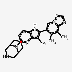 Cc1c(-c2[nH]c3ccc(N4C5CNCC4COC5)nc3c2C(C)C)cn2ncnc2c1C